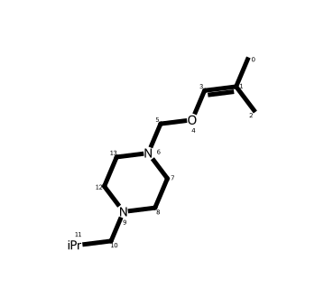 CC(C)=COCN1CCN(CC(C)C)CC1